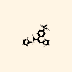 CS(=O)(=O)c1ccc(/C(=C\c2nccs2)C(=O)Nc2nccs2)cc1